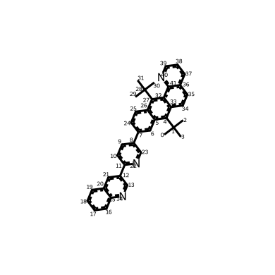 CC(C)(C)c1c2cc(-c3ccc(-c4cnc5ccccc5c4)nc3)ccc2c(C(C)(C)C)c2c1ccc1cccnc12